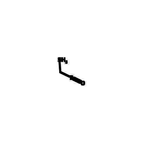 O=BC[SiH3]